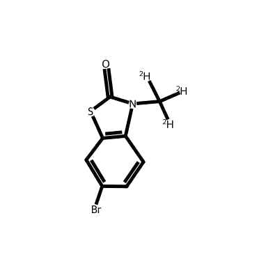 [2H]C([2H])([2H])n1c(=O)sc2cc(Br)ccc21